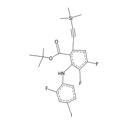 CC(C)(C)OC(=O)c1c(C#C[Si](C)(C)C)cc(F)c(F)c1Nc1ccc(I)cc1F